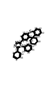 C1=CCC(c2nnc(-c3ccc4c(c3)C3(CCCCC3)c3ccccc3S4)n2-c2ccccc2)C=C1